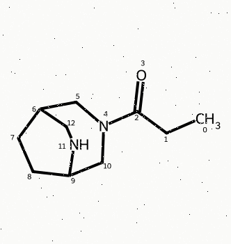 CCC(=O)N1CC2CCC(C1)NC2